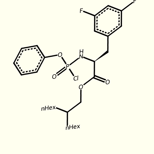 CCCCCCC(CCCCCC)COC(=O)[C@H](Cc1cc(F)cc(F)c1)NP(=O)(Cl)Oc1ccccc1